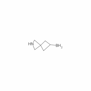 BC1CC2(CNC2)C1